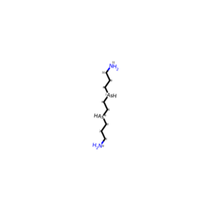 NCCC[AsH]CC[AsH]CCCN